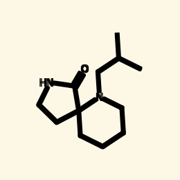 CC(C)CN1CCCCC12CCNC2=O